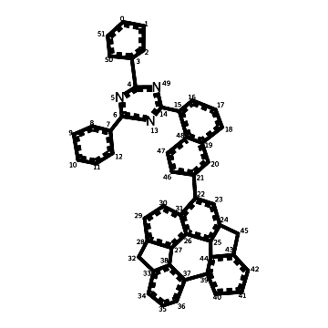 c1ccc(-c2nc(-c3ccccc3)nc(-c3cccc4cc(-c5cc6c7c8c9c(ccc58)Cc5cccc(c5-9)-c5cccc(c5-7)C6)ccc34)n2)cc1